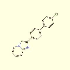 Clc1ccc(-c2ccc(-c3cn4ccccc4n3)cc2)cc1